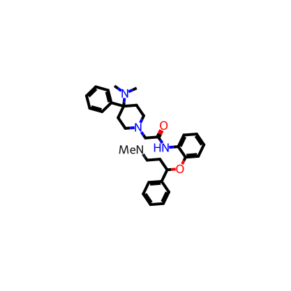 CNCCC(Oc1ccccc1NC(=O)CN1CCC(c2ccccc2)(N(C)C)CC1)c1ccccc1